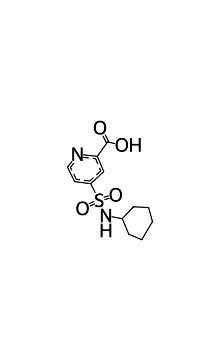 O=C(O)c1cc(S(=O)(=O)NC2CCCCC2)ccn1